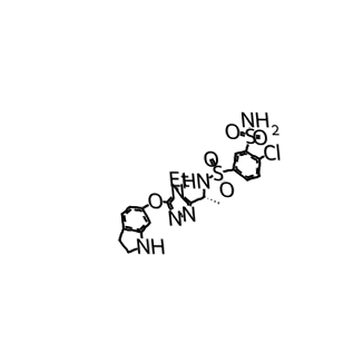 CCn1c(Oc2ccc3c(c2)NCC3)nnc1[C@@H](C)NS(=O)(=O)c1ccc(Cl)c(S(N)(=O)=O)c1